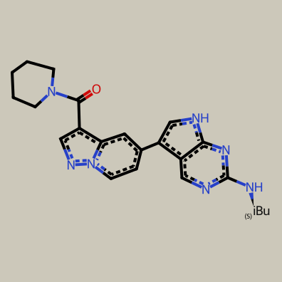 CC[C@H](C)Nc1ncc2c(-c3ccn4ncc(C(=O)N5CCCCC5)c4c3)c[nH]c2n1